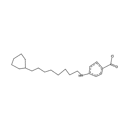 O=C(Cl)c1ccc(NCCCCCCCCC2CCCCC2)cc1